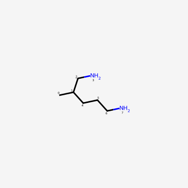 CC([CH]N)CCCN